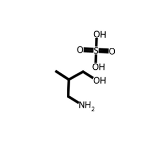 CC(CN)CO.O=S(=O)(O)O